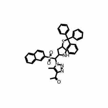 CC(=O)c1nnn(C(C2CC(SC(c3ccccc3)(c3ccccc3)c3ccccc3)CN2)S(=O)(=O)c2ccc3ccccc3c2)c1C